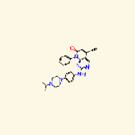 C#Cc1cc(=O)n(-c2ccccc2)c2nc(Nc3ccc(N4CCN(C(C)C)CC4)cc3)ncc12